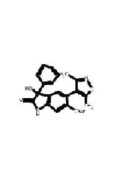 COc1cc2c(cc1-c1c(C)noc1C)C(O)(c1ccccc1)C(=O)N2